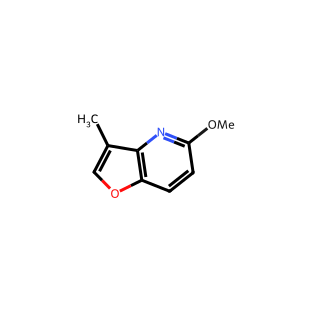 COc1ccc2occ(C)c2n1